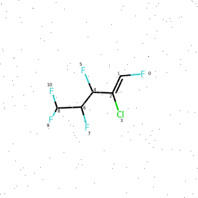 FC=C(Cl)C(F)C(F)C(F)F